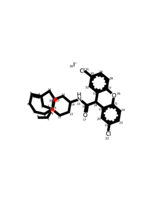 CC[N+]1(C/C2=C\CCCCCC2)CCC(NC(=O)C2c3cc(Cl)ccc3Oc3ccc(Cl)cc32)CC1.[I-]